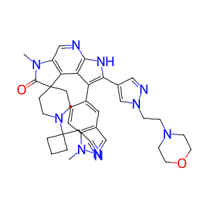 CN1C(=O)C2(CCN(C3(CC#N)CCC3)CC2)c2c1cnc1[nH]c(-c3cnn(CCN4CCOCC4)c3)c(-c3ccc4c(cnn4C)c3)c21